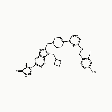 N#Cc1ccc(COc2cccc(C3=CCN(Cc4nc5cc(-c6noc(=O)[nH]6)ncc5n4CC4CCO4)CC3)n2)c(F)c1